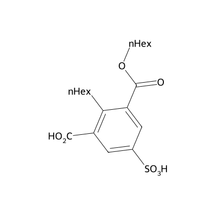 CCCCCCOC(=O)c1cc(S(=O)(=O)O)cc(C(=O)O)c1CCCCCC